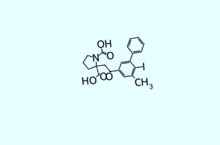 Cc1cc(C(=O)CC2(C(=O)O)CCCN2C(=O)O)cc(-c2ccccc2)c1I